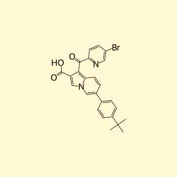 CC(C)(C)c1ccc(-c2ccc3c(C(=O)c4ccc(Br)cn4)c(C(=O)O)cn3c2)cc1